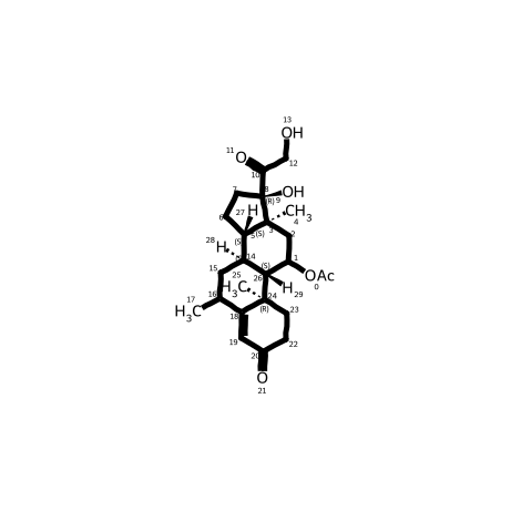 CC(=O)OC1C[C@@]2(C)[C@@H](CC[C@]2(O)C(=O)CO)[C@@H]2CC(C)C3=CC(=O)CC[C@]3(C)[C@@H]12